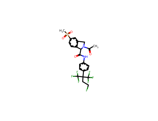 CC(=O)N1Cc2cc(S(C)(=O)=O)ccc2C1C(=O)Nc1ccc(C(CCF)(C(F)(F)F)C(F)(F)F)cc1